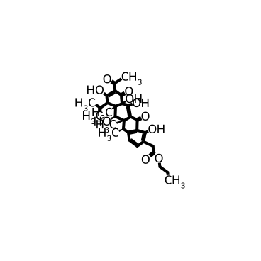 CCCOC(=O)Cc1ccc2c(c1O)C(=O)C1=C(O)[C@@]3(O)C(=O)C(C(C)=O)=C(O)C(C(C)C)[C@@]3(C)[C@H](O)[C@@]1(C)[C@@H]2C